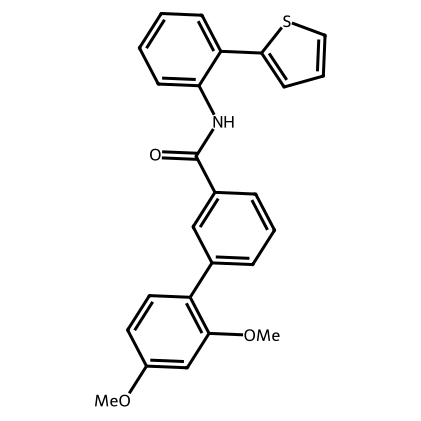 COc1ccc(-c2cccc(C(=O)Nc3ccccc3-c3cccs3)c2)c(OC)c1